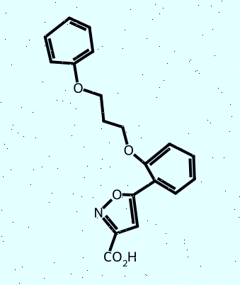 O=C(O)c1cc(-c2ccccc2OCCCOc2ccccc2)on1